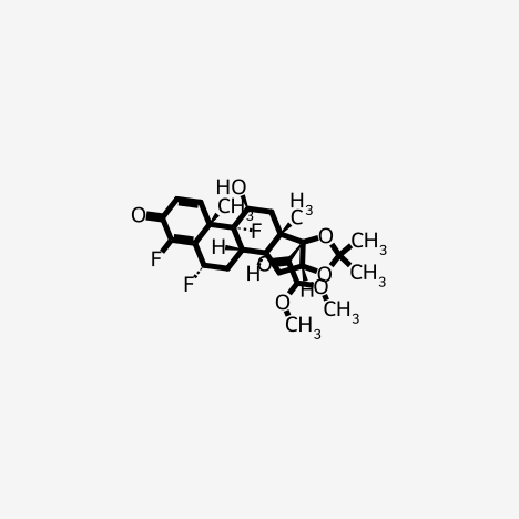 COC(OC)C(=O)[C@@]12OC(C)(C)O[C@@H]1C[C@H]1[C@@H]3C[C@H](F)C4=C(F)C(=O)C=C[C@]4(C)[C@@]3(F)[C@@H](O)C[C@@]12C